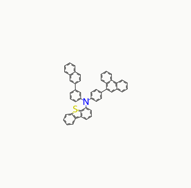 c1cc(-c2ccc3ccccc3c2)cc(N(c2ccc(-c3cc4ccccc4c4ccccc34)cc2)c2cccc3c2sc2ccccc23)c1